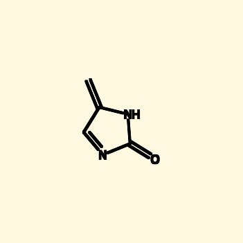 C=C1C=NC(=O)N1